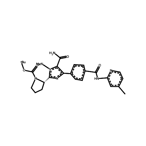 CNn1c([C@@H]2CCCN2C(=O)OC(C)(C)C)nc(-c2ccc(C(=O)Nc3cc(C)ccn3)cc2)c1C(N)=O